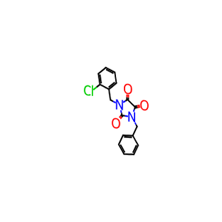 O=C1C(=O)N(Cc2ccccc2Cl)C(=O)N1Cc1ccccc1